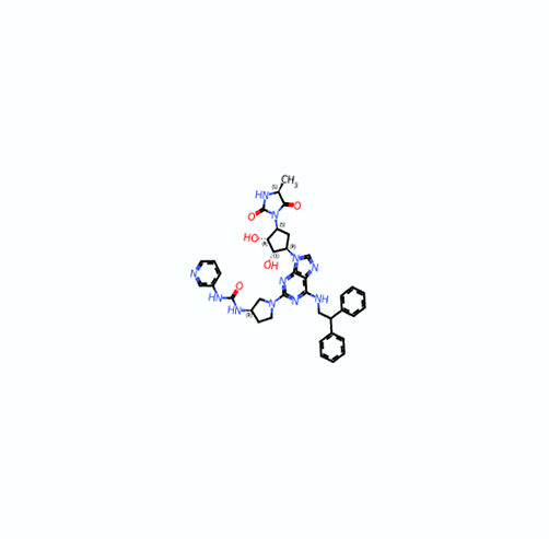 C[C@@H]1NC(=O)N([C@H]2C[C@@H](n3cnc4c(NCC(c5ccccc5)c5ccccc5)nc(N5CC[C@@H](NC(=O)Nc6cccnc6)C5)nc43)[C@H](O)[C@@H]2O)C1=O